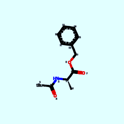 C[C@H](NC(=O)C(C)(C)C)C(=O)OCc1ccccc1